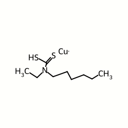 CCCCCCN(CC)C(=S)S.[Cu]